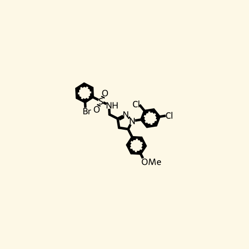 COc1ccc(C2CC(CNS(=O)(=O)c3ccccc3Br)=NN2c2ccc(Cl)cc2Cl)cc1